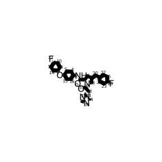 O=C(Nc1ccc(Oc2ccc(F)cc2)cc1)C1CC(=Cc2ccc(F)cc2)CN1C(=O)Cn1cncn1